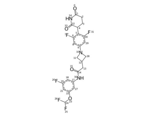 O=C1CCC(c2c(F)cc(N3CC(CC(=O)Nc4cc(F)cc(OC(F)F)c4)C3)cc2F)C(=O)N1